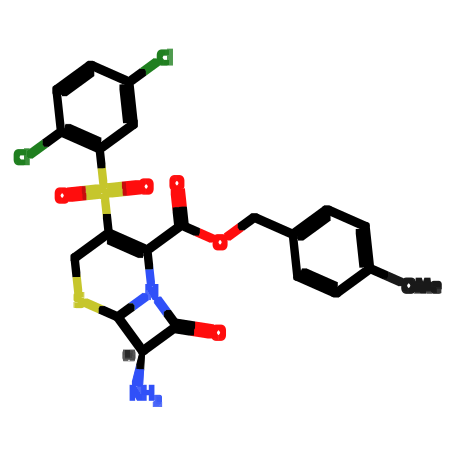 COc1ccc(COC(=O)C2=C(S(=O)(=O)c3cc(Cl)ccc3Cl)CSC3[C@H](N)C(=O)N23)cc1